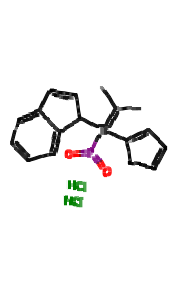 C[C](C)=[Ti]([C]1=CC=CC1)([CH]1C=Cc2ccccc21)[P](=O)=O.Cl.Cl